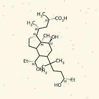 CC[C@H](O)CCC(C)(C)C1C[C@H](O)[C@@]2(C)C(CC[C@@H]2[C@H](C)C[C@H](C)C(=O)O)C1[C@H](O)CC